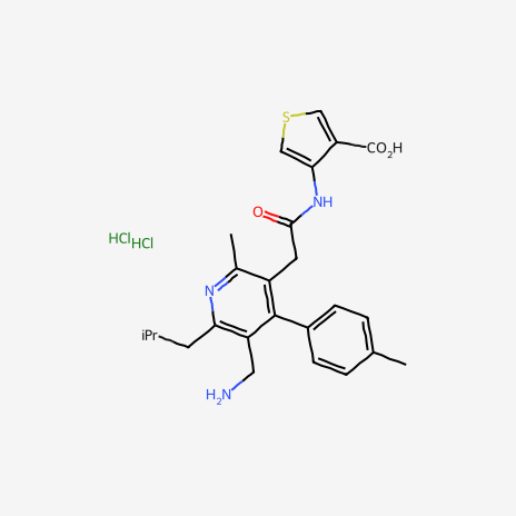 Cc1ccc(-c2c(CC(=O)Nc3cscc3C(=O)O)c(C)nc(CC(C)C)c2CN)cc1.Cl.Cl